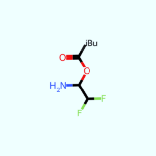 CCC(C)C(=O)OC(N)C(F)F